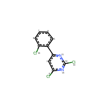 Clc1cc(-c2ccccc2Cl)nc(Cl)n1